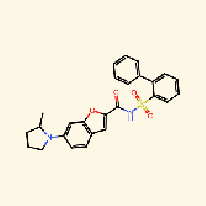 CC1CCCN1c1ccc2cc(C(=O)NS(=O)(=O)c3ccccc3-c3ccccc3)oc2c1